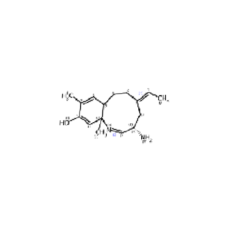 C/C=C1/CCC2C=C(C)C(O)=CC2(C)/N=C\[C@@H](N)C1